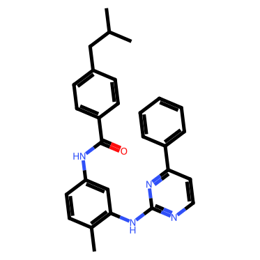 Cc1ccc(NC(=O)c2ccc(CC(C)C)cc2)cc1Nc1nccc(-c2ccccc2)n1